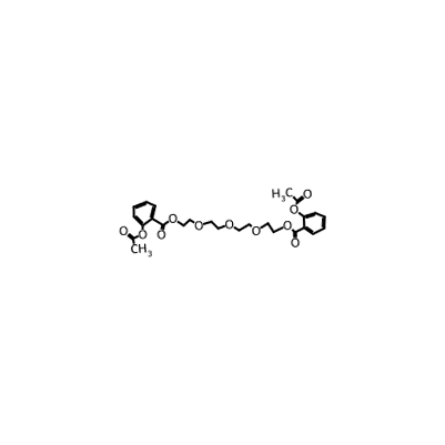 CC(=O)Oc1ccccc1C(=O)OCCOCCOCCOCCOC(=O)c1ccccc1OC(C)=O